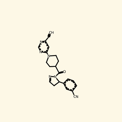 C#Cc1cc(N2CCC(C(=O)N3N=CCC3c3cccc(C#N)c3)CC2)ncn1